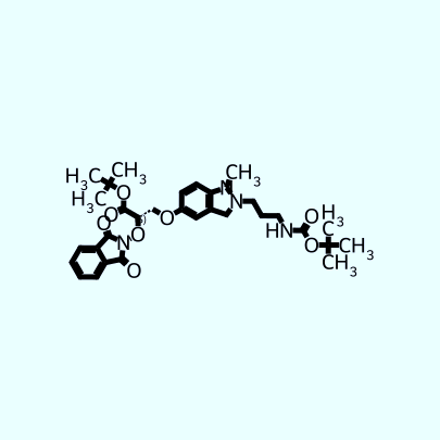 CN1c2ccc(OC[C@H](ON3C(=O)c4ccccc4C3=O)C(=O)OC(C)(C)C)cc2CN1CCCNC(=O)OC(C)(C)C